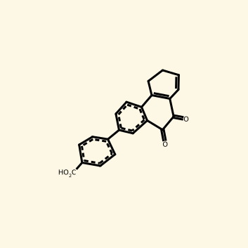 O=C1C(=O)c2cc(-c3ccc(C(=O)O)cc3)ccc2C2=C1C=CCC2